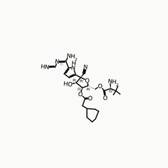 CC(C)(C)[C@H](N)C(=O)OC[C@H]1O[C@@](C#N)(c2ccc(/C(N)=N\C=N)[nH]2)[C@H](O)[C@@H]1OC(=O)CC1CCCCC1